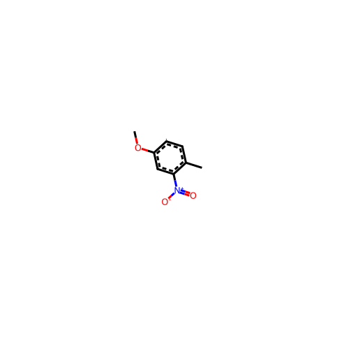 COc1[c]cc(C)c([N+](=O)[O-])c1